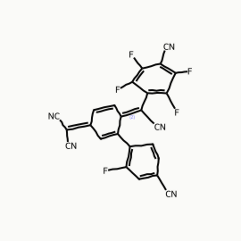 N#CC(C#N)=c1cc/c(=C(/C#N)c2c(F)c(F)c(C#N)c(F)c2F)c(-c2ccc(C#N)cc2F)c1